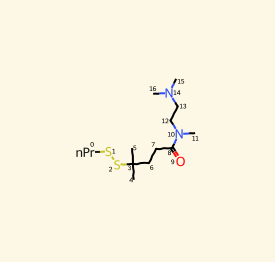 CCCSSC(C)(C)CCC(=O)N(C)CCN(C)C